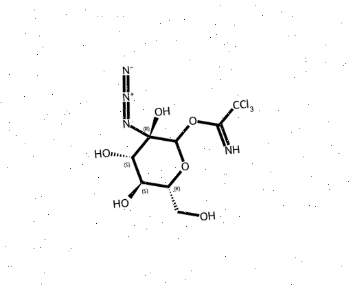 [N-]=[N+]=N[C@]1(O)C(OC(=N)C(Cl)(Cl)Cl)O[C@H](CO)[C@@H](O)[C@@H]1O